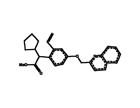 C=Cc1cc(OCc2ccc3ccccc3n2)ccc1C(C(=O)OC)C1CCCC1